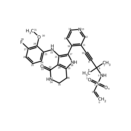 C=CS(=O)(=O)NC(C)(C)C#Cc1cnccc1-c1[nH]c2c(c1Nc1cccc(F)c1OC)C(=O)NCC2